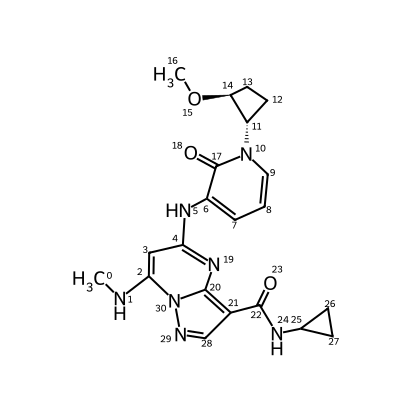 CNc1cc(Nc2cccn([C@H]3CC[C@@H]3OC)c2=O)nc2c(C(=O)NC3CC3)cnn12